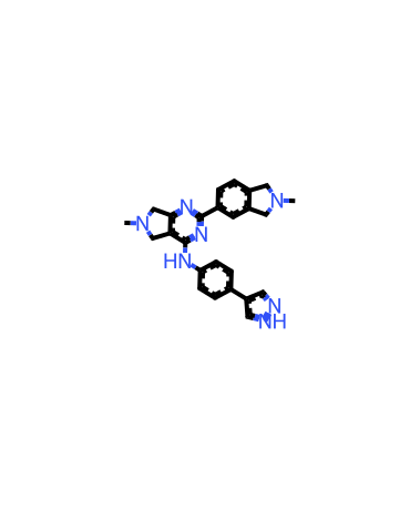 CN1Cc2ccc(-c3nc4c(c(Nc5ccc(-c6cn[nH]c6)cc5)n3)CN(C)C4)cc2C1